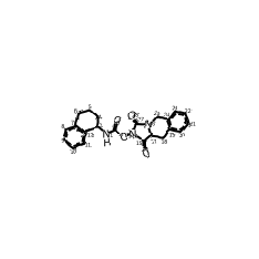 O=C(NC1CCCc2ccccc21)ON1C(=O)C2Cc3ccccc3CN2C1=O